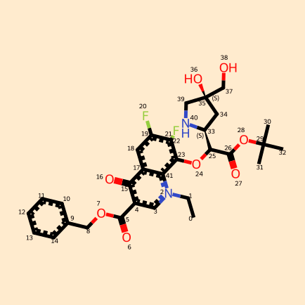 CCn1cc(C(=O)OCc2ccccc2)c(=O)c2cc(F)c(F)c(OC(C(=O)OC(C)(C)C)[C@@H]3C[C@@](O)(CO)CN3)c21